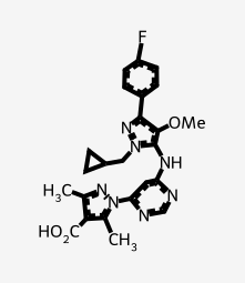 COc1c(-c2ccc(F)cc2)nn(CC2CC2)c1Nc1cc(-n2nc(C)c(C(=O)O)c2C)ncn1